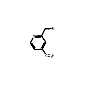 O=C(O)c1ccnc(CBr)c1